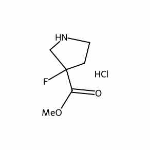 COC(=O)C1(F)CCNC1.Cl